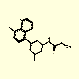 Cc1ncc(N2CC(C)CC(NC(=O)CO)C2)c2cccnc12